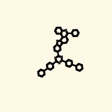 c1ccc(-c2ccc(-c3nc(-c4ccc(-c5ccccc5)cc4)nc(-c4ccc5sc6c(ccc7c(-c8ccccc8)nc8ccccc8c76)c5c4)n3)cc2)cc1